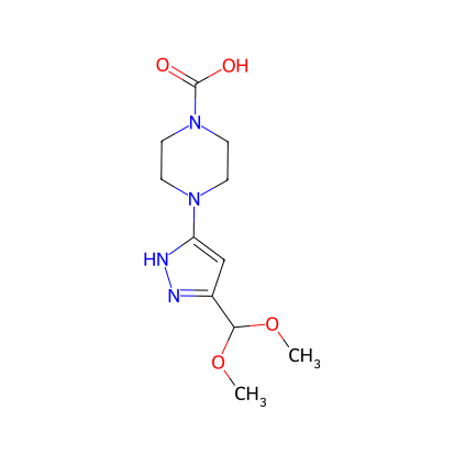 COC(OC)c1cc(N2CCN(C(=O)O)CC2)[nH]n1